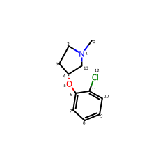 CN1CC[C@@H](Oc2ccccc2Cl)C1